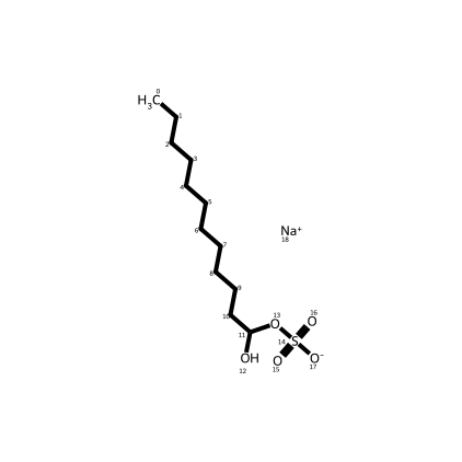 CCCCCCCCCCCC(O)OS(=O)(=O)[O-].[Na+]